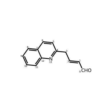 O=CC=CCc1ccc2ccccc2n1